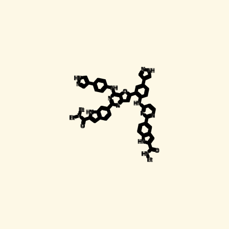 CCNC(=O)c1cc2cc(-c3nccc(Nc4ccc(-c5cn[nH]c5)cc4-c4cc5nc(-c6ccc7cc(C(=O)N(CC)CC)[nH]c7c6)nc(Nc6ccc(-c7cn[nH]c7)cc6)c5o4)n3)ccc2[nH]1